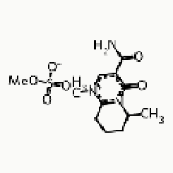 CC1CCCc2n1c(=O)c(C(N)=O)c[n+]2C.COS(=O)(=O)[O-]